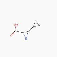 O=C(O)C1NC1C1CC1